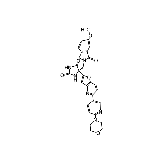 COc1ccc2c(c1)C(=O)N(C[C@@]1(c3cc4nc(-c5ccc(N6CCOCC6)nc5)ccc4o3)NC(=O)NC1=O)C2